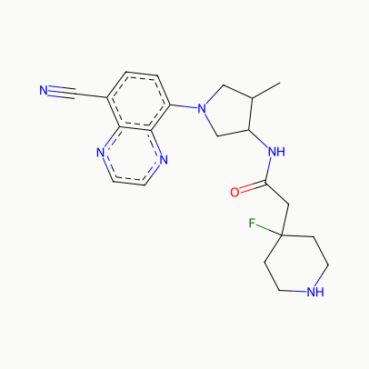 CC1CN(c2ccc(C#N)c3nccnc23)CC1NC(=O)CC1(F)CCNCC1